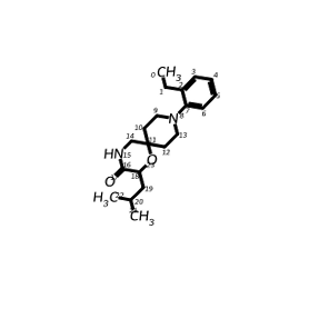 CCc1ccccc1N1CCC2(CC1)CNC(=O)C(CC(C)C)O2